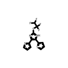 FC(F)C(F)(F)Sc1nc(-c2cccs2)c(-c2cccs2)[nH]1